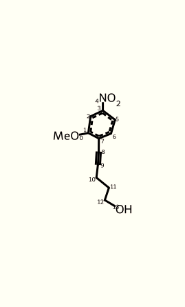 COc1cc([N+](=O)[O-])ccc1C#CCCCO